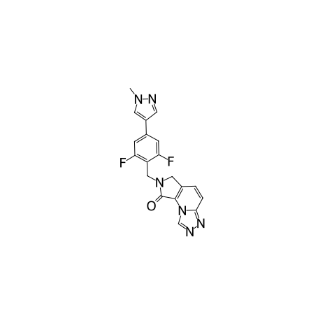 Cn1cc(-c2cc(F)c(CN3Cc4ccc5nncn5c4C3=O)c(F)c2)cn1